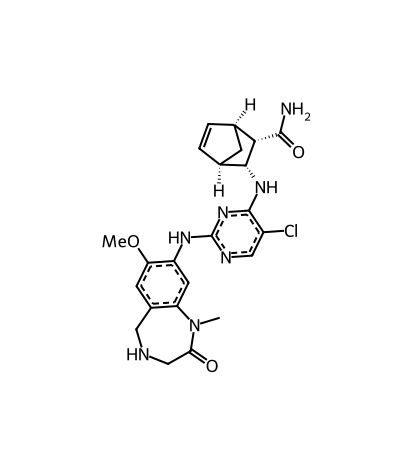 COc1cc2c(cc1Nc1ncc(Cl)c(N[C@H]3[C@@H](C(N)=O)[C@@H]4C=C[C@H]3C4)n1)N(C)C(=O)CNC2